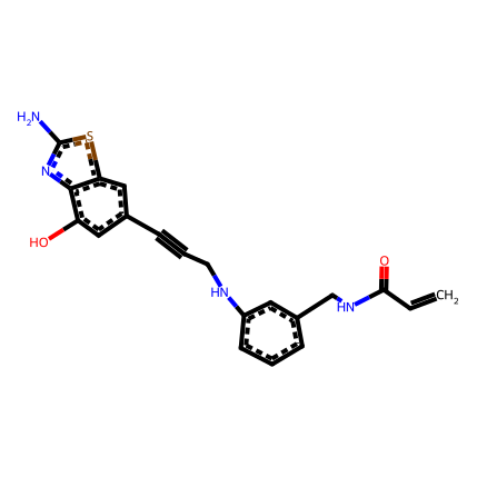 C=CC(=O)NCc1cccc(NCC#Cc2cc(O)c3nc(N)sc3c2)c1